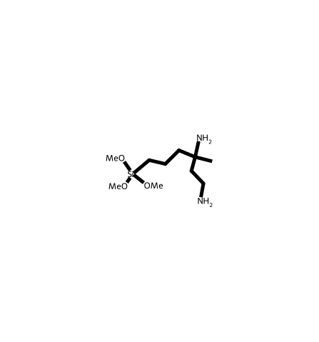 CO[Si](CCCC(C)(N)CCN)(OC)OC